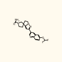 NC(=O)N1CCC2(CCn3nc(-c4cnc5ccc(OC(F)F)cc5c4)cc32)C1